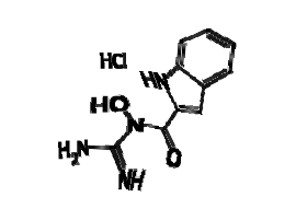 Cl.N=C(N)N(O)C(=O)c1cc2ccccc2[nH]1